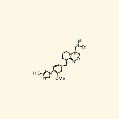 CCN(CC)C[C@H]1CON=C2/C(=C/c3ccc(-n4cnc(C)c4)c(OC)c3)CCCN21